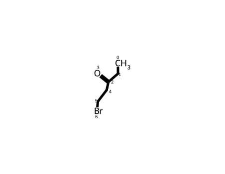 CCC(=O)CCBr